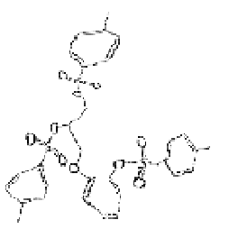 Cc1ccc(S(=O)(=O)OCC(COc2ccccc2OS(=O)(=O)c2ccc(C)cc2)OS(=O)(=O)c2ccc(C)cc2)cc1